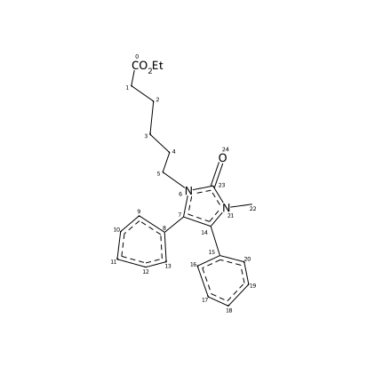 CCOC(=O)CCCCCn1c(-c2ccccc2)c(-c2ccccc2)n(C)c1=O